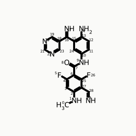 CNc1cc(F)c(C(=O)Nc2ccc(N)c(C(=N)c3cncnc3)c2)c(F)c1C=N